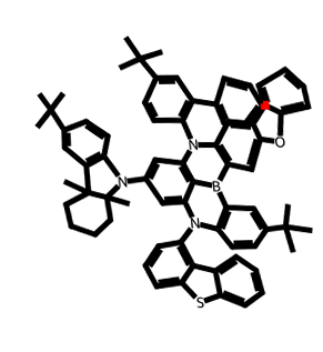 CC(C)(C)c1ccc2c(c1)B1c3cc4oc5ccccc5c4cc3N(c3ccc(C(C)(C)C)cc3-c3ccccc3)c3cc(N4c5ccc(C(C)(C)C)cc5C5(C)CCCCC45C)cc(c31)N2c1cccc2sc3ccccc3c12